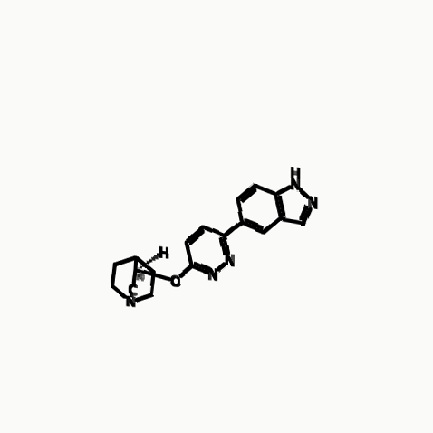 c1cc2[nH]ncc2cc1-c1ccc(O[C@H]2CN3CCC2CC3)nn1